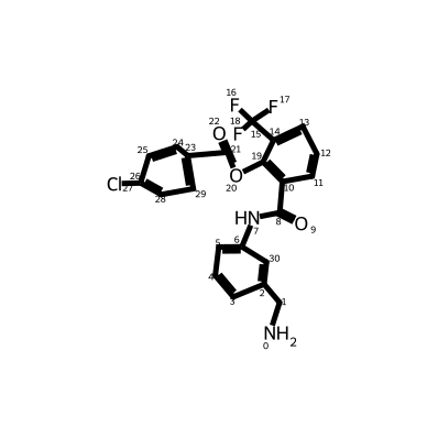 NCc1cccc(NC(=O)c2cccc(C(F)(F)F)c2OC(=O)c2ccc(Cl)cc2)c1